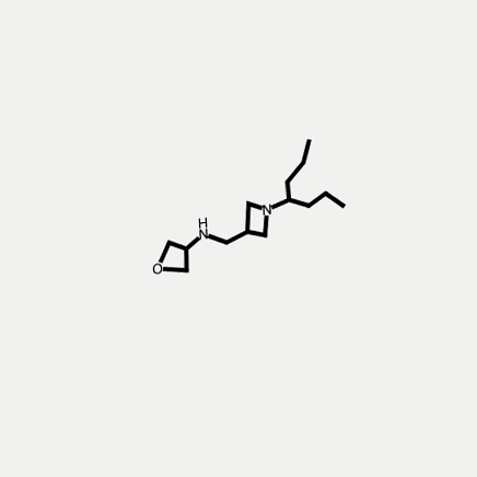 CCCC(CCC)N1CC(CNC2COC2)C1